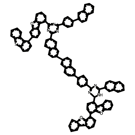 c1ccc2cc(C3=NC(c4ccc(-c5ccc6cc(-c7ccc8ccc(-c9nc(-c%10ccc(-c%11ccc%12ccccc%12c%11)cc%10)nc(-c%10cccc%11oc%12cc(-c%13cccc%14sc%15ccccc%15c%13%14)ccc%12c%10%11)n9)cc8c7)ccc6c5)cc4)=NC(c4ccc(-c5cccc6c5oc5ccccc56)c5oc6ccccc6c45)N3)ccc2c1